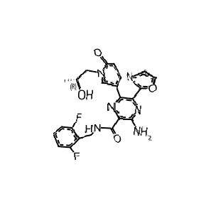 C[C@@H](O)Cn1cc(-c2nc(C(=O)NCc3c(F)cccc3F)c(N)nc2-c2ncco2)ccc1=O